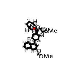 COCOc1cc(C2CCc3c(nc(SC)nc3N3C[C@H]4CC[C@@H](C3)N4C(=O)OC(C)(C)C)C2)c2c(F)cccc2c1